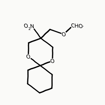 O=[C]OCC1([N+](=O)[O-])COC2(CCCCC2)OC1